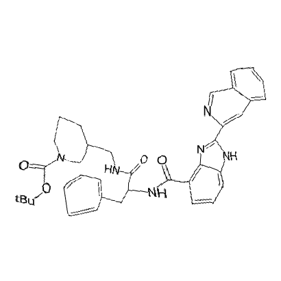 CC(C)(C)OC(=O)N1CCCC(CNC(=O)C(Cc2ccccc2)NC(=O)c2cccc3[nH]c(-c4cc5ccccc5cn4)nc23)C1